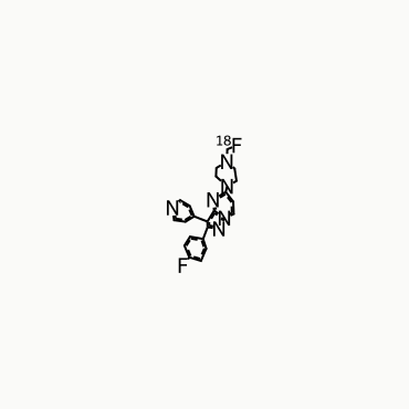 Fc1ccc(-c2nn3ccc(N4CCN(C[18F])CC4)nc3c2-c2ccncc2)cc1